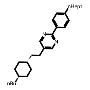 CCCCCCCc1ccc(-c2ncc(CC[C@H]3CC[C@H](CCCC)CC3)cn2)cc1